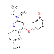 CCCCCCCCc1ccc2nc(N(C)CC(=O)O)cc(Oc3cccc(O)c3)c2c1